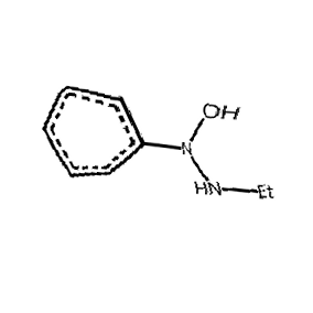 CCNN(O)c1ccccc1